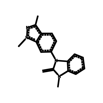 C=C1N(C)c2ccccc2N1c1ccc2c(C)nn(C)c2c1